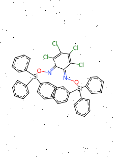 ClC1=C(Cl)C(Cl)=C(Cl)C(=NO[Si](c2ccccc2)(c2ccccc2)c2ccccc2)C1=NO[Si](c1ccccc1)(c1ccccc1)c1ccccc1